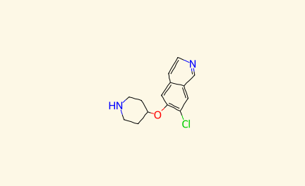 Clc1cc2cnccc2cc1OC1CCNCC1